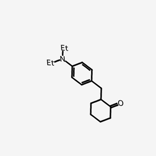 CCN(CC)c1ccc(CC2CCCCC2=O)cc1